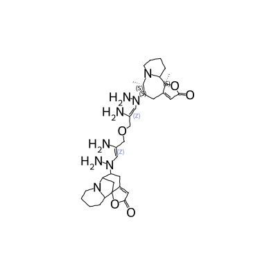 C[C@H]1[C@@H](N(N)/C=C(\N)COC/C(N)=C/N(N)C2CC3=CC(=O)OC34CC2N2CCCCC24)CC2=CC(=O)O[C@]2(C)C2CCCCN21